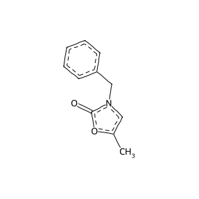 Cc1cn(Cc2ccccc2)c(=O)o1